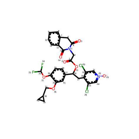 O=C(CN1C(=O)Cc2ccccc2C1=O)OC(Cc1c(Cl)c[n+]([O-])cc1Cl)c1ccc(OC(F)F)c(OCC2CC2)c1